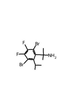 CC(C)c1c(Br)c(F)c(F)c(Br)c1C(C)(C)N